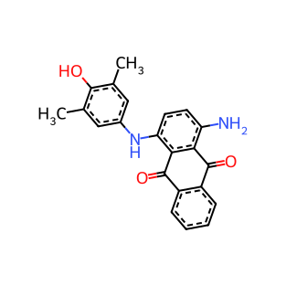 Cc1cc(Nc2ccc(N)c3c2C(=O)c2ccccc2C3=O)cc(C)c1O